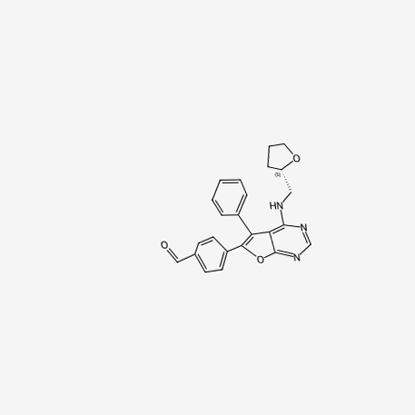 O=Cc1ccc(-c2oc3ncnc(NC[C@@H]4CCCO4)c3c2-c2ccccc2)cc1